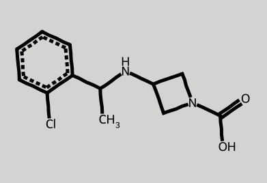 CC(NC1CN(C(=O)O)C1)c1ccccc1Cl